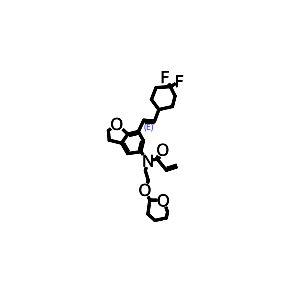 C=CC(=O)N(CCOC1CCCCO1)c1cc(/C=C/C2CCC(F)(F)CC2)c2c(c1)CCO2